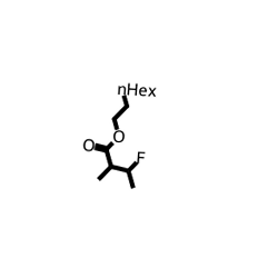 CCCCCCCCOC(=O)C(C)C(C)F